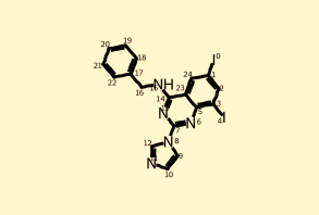 Ic1cc(I)c2nc(-n3ccnc3)nc(NCc3ccccc3)c2c1